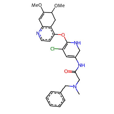 COC1=Cc2nccc(OC3=C(Cl)C=C(NC(=O)CN(C)Cc4ccccc4)CN3)c2CC1OC